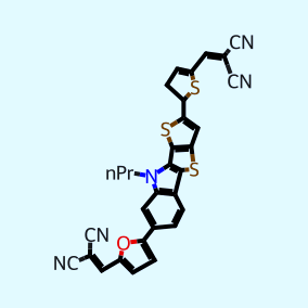 CCCn1c2cc(-c3ccc(C=C(C#N)C#N)o3)ccc2c2sc3cc(C4CC=C(C=C(C#N)C#N)S4)sc3c21